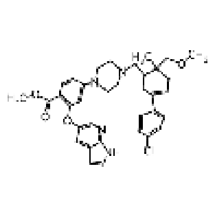 COCC1(C)CC=C(c2ccc(Cl)cc2)CC1CN1CCN(c2ccc(C(=O)OC)c(Oc3cnc4[nH]ccc4c3)c2)CC1